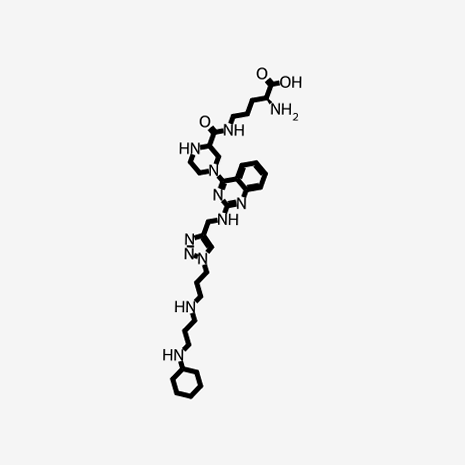 N[C@@H](CCCNC(=O)C1CN(c2nc(NCc3cn(CCCNCCCNC4CCCCC4)nn3)nc3ccccc23)CCN1)C(=O)O